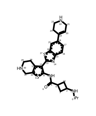 CC(C)NC1CC(C(=O)Nc2sc3c(c2-c2nc4ccc(C5=CCNCC5)cc4s2)CCNC3)C1